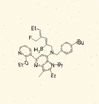 B/C(=C\C(=C\CC)CF)CN(Cc1ccc(C(C)CC)cc1)c1cc(-c2cccnc2OCC)nc2c(C)c(CC)n(C(C)C)c12